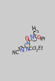 CCOC(=O)N1CCn2c(C#N)ccc2C12CCN(C(=O)c1ccc(OC(C)C)c(C)n1)CC2